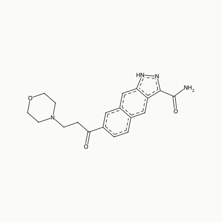 NC(=O)c1n[nH]c2cc3cc(C(=O)CCN4CCOCC4)ccc3cc12